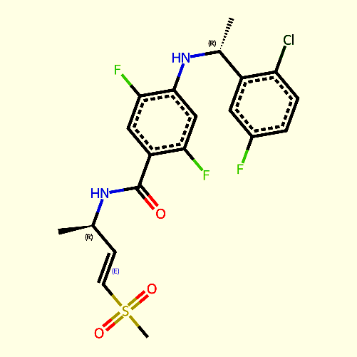 C[C@H](/C=C/S(C)(=O)=O)NC(=O)c1cc(F)c(N[C@H](C)c2cc(F)ccc2Cl)cc1F